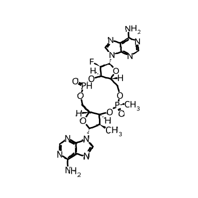 C[C@@H]1[C@@H]2O[P@@](C)(=O)OC[C@H]3O[C@@H](n4cnc5c(N)ncnc54)[C@H](F)[C@@H]3O[PH](=O)OC[C@H]2O[C@H]1n1cnc2c(N)ncnc21